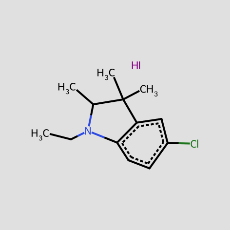 CCN1c2ccc(Cl)cc2C(C)(C)C1C.I